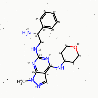 Cn1ncc2c(NC3CCOCC3)nc(NC[C@H](N)c3ccccc3)nc21